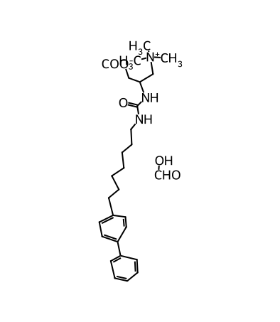 C[N+](C)(C)CC(CC(=O)[O-])NC(=O)NCCCCCCCc1ccc(-c2ccccc2)cc1.O=CO